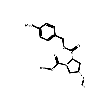 CCCO[C@H]1C[C@@H](C(=O)OCc2ccc(OC)cc2)N(C(=O)OC(C)(C)C)C1